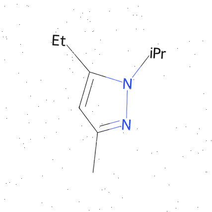 CCc1cc(C)nn1C(C)C